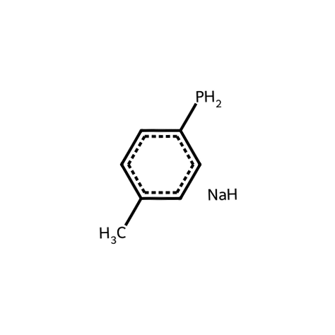 Cc1ccc(P)cc1.[NaH]